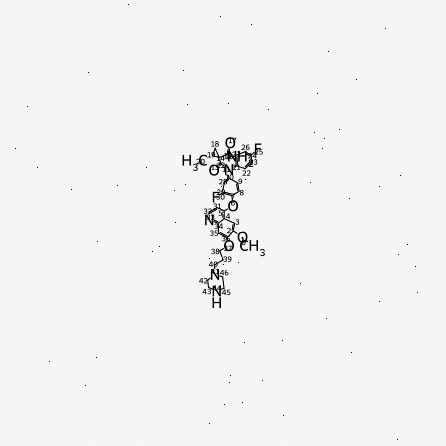 COc1cc2c(Oc3ccc(N(C(=O)[C@]4(C(N)=O)C[C@H]4C)c4ccc(F)cc4)cc3F)ccnc2cc1OCCCN1CCNCC1